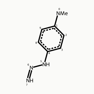 CNc1ccc(NN=N)cc1